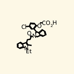 CCn1c(C)c(CCC(=O)N2Cc3ccccc3C2c2cc(Cl)ccc2OCC(=O)O)c2ccccc21